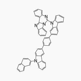 c1ccc2cc(-n3c4ccccc4c4cc(-c5ccc(-c6ccc7c8ccccc8n(-c8nc9ccccc9c9nc%10ccccc%10n89)c7c6)cc5)ccc43)ccc2c1